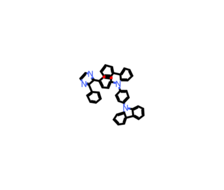 c1ccc(-c2ccccc2N(c2ccc(-c3nccnc3-c3ccccc3)cc2)c2ccc(-n3c4ccccc4c4ccccc43)cc2)cc1